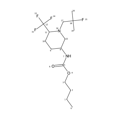 CCCCOC(=O)NC1CCC(C(F)(F)F)N(CC(C)(C)F)C1